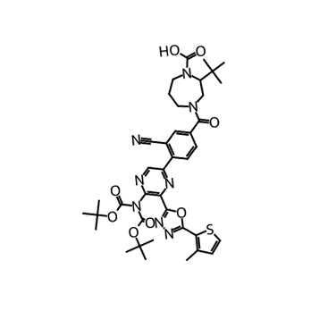 Cc1ccsc1-c1nnc(-c2nc(-c3ccc(C(=O)N4CCCN(C(=O)O)C(C(C)(C)C)C4)cc3C#N)cnc2N(C(=O)OC(C)(C)C)C(=O)OC(C)(C)C)o1